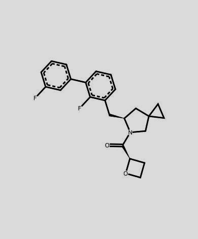 O=C([C@H]1CCO1)N1CC2(CC2)C[C@@H]1Cc1cccc(-c2cccc(F)c2)c1F